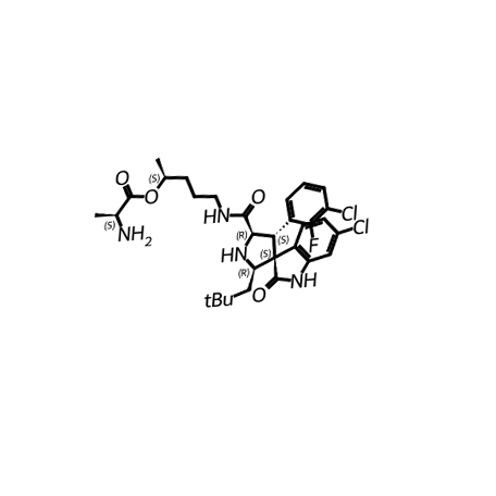 C[C@H](N)C(=O)O[C@@H](C)CCCNC(=O)[C@@H]1N[C@H](CC(C)(C)C)[C@]2(C(=O)Nc3cc(Cl)ccc32)[C@H]1c1cccc(Cl)c1F